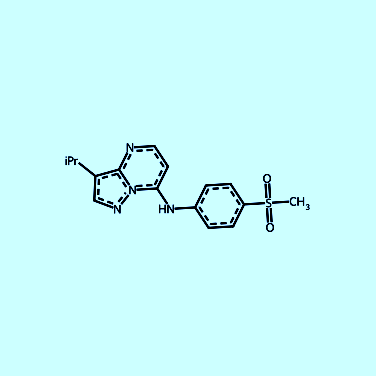 CC(C)c1cnn2c(Nc3ccc(S(C)(=O)=O)cc3)ccnc12